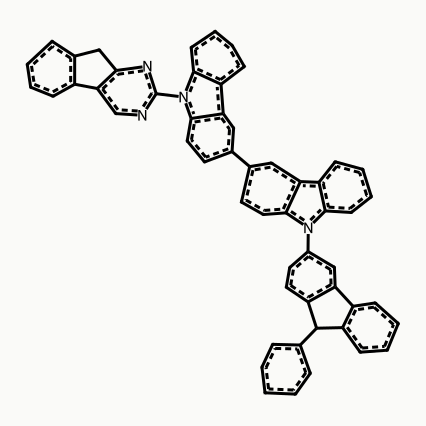 c1ccc(C2c3ccccc3-c3cc(-n4c5ccccc5c5cc(-c6ccc7c(c6)c6ccccc6n7-c6ncc7c(n6)Cc6ccccc6-7)ccc54)ccc32)cc1